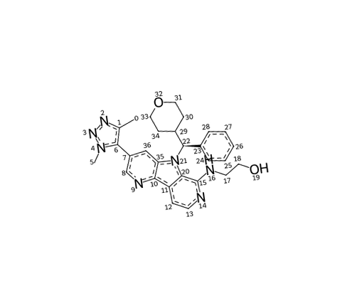 Cc1nnn(C)c1-c1cnc2c3ccnc(NCCO)c3n([C@H](c3ccccc3)C3CCOCC3)c2c1